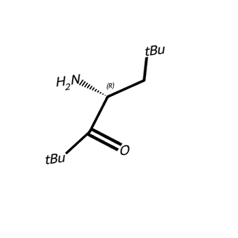 CC(C)(C)C[C@@H](N)C(=O)C(C)(C)C